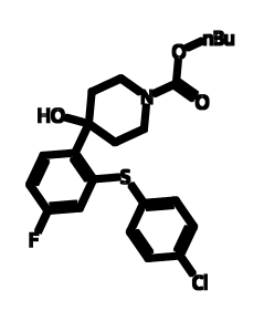 CCCCOC(=O)N1CCC(O)(c2ccc(F)cc2Sc2ccc(Cl)cc2)CC1